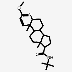 COC1=NC2CCC3C(CCC4(C)C(C(=O)NC(C)(C)C)CCC34)C2(C)C=C1